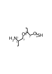 CC(N)COC(C)COS